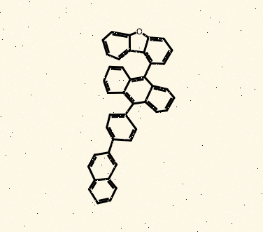 c1ccc2cc(-c3ccc(-c4c5ccccc5c(-c5cccc6oc7ccccc7c56)c5ccccc45)cc3)ccc2c1